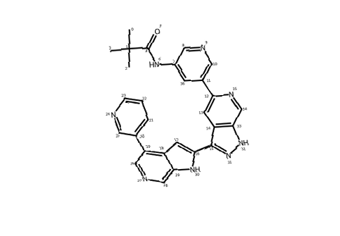 CC(C)(C)C(=O)Nc1cncc(-c2cc3c(-c4cc5c(-c6cccnc6)cncc5[nH]4)n[nH]c3cn2)c1